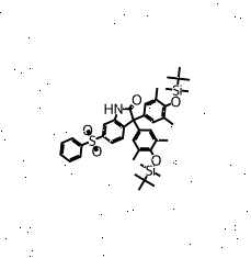 Cc1cc(C2(c3cc(C)c(O[Si](C)(C)C(C)(C)C)c(C)c3)C(=O)Nc3cc(S(=O)(=O)c4ccccc4)ccc32)cc(C)c1O[Si](C)(C)C(C)(C)C